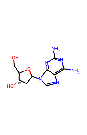 Nc1nc(N)c2ncn(C3C[C@H](O)C(CO)O3)c2n1